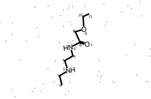 CCNCCNC(=O)COCC